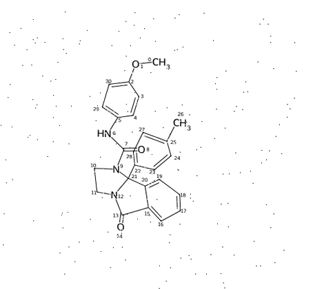 COc1ccc(NC(=O)N2CCN3C(=O)c4ccccc4C23c2ccc(C)cc2)cc1